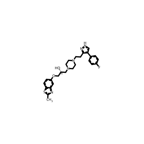 Cc1nc2cc(OC[C@H](O)CN3CCN(CCc4n[nH]cc4-c4ccc(F)cc4)CC3)ccc2s1